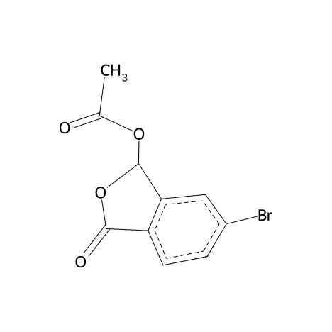 CC(=O)OC1OC(=O)c2ccc(Br)cc21